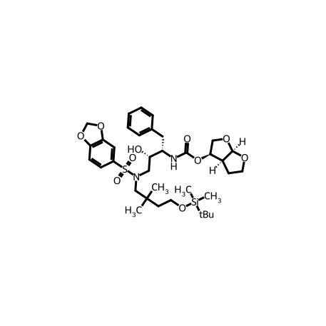 CC(C)(CCO[Si](C)(C)C(C)(C)C)CN(C[C@H](O)[C@H](Cc1ccccc1)NC(=O)O[C@H]1CO[C@H]2OCC[C@H]21)S(=O)(=O)c1ccc2c(c1)OCO2